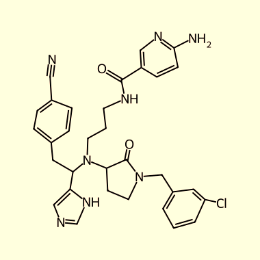 N#Cc1ccc(CC(c2cnc[nH]2)N(CCCNC(=O)c2ccc(N)nc2)C2CCN(Cc3cccc(Cl)c3)C2=O)cc1